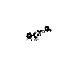 COc1c(F)cccc1-c1cnc2nc(COc3cc(F)ccn3)cn2c1